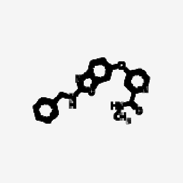 CNC(=O)c1cc(Oc2ccc3nc(NCc4ccccc4)oc3c2)ccn1